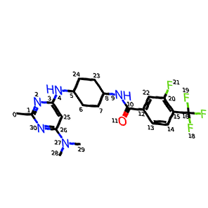 Cc1nc(NC2CCC(NC(=O)c3ccc(C(F)(F)F)c(F)c3)CC2)cc(N(C)C)n1